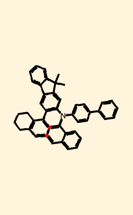 CC1(C)c2ccccc2-c2cc(-c3cccc4c3CCCC4)c(N(c3ccc(-c4ccccc4)cc3)c3cccc4ccccc34)cc21